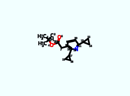 CC(C)(C)OC(=O)Cc1ccc(C2CC2)nc1C1CC1